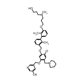 Cc1c(COc2cc(OCc3cncc(C#N)c3)c(CN3CCCCC3)cc2Cl)cccc1-c1cccc(OCCCN(C)CCCO)c1C